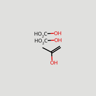 C=C(C)O.O=C(O)O.O=C(O)O